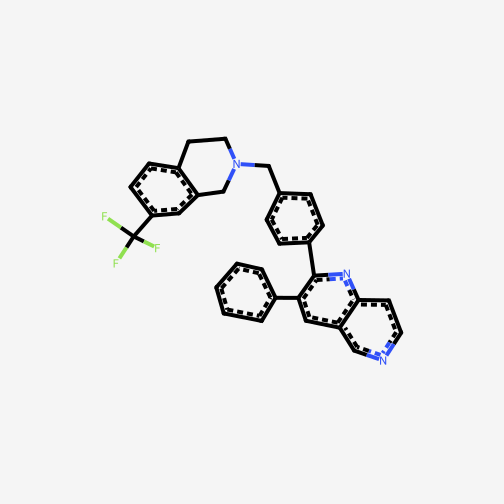 FC(F)(F)c1ccc2c(c1)CN(Cc1ccc(-c3nc4ccncc4cc3-c3ccccc3)cc1)CC2